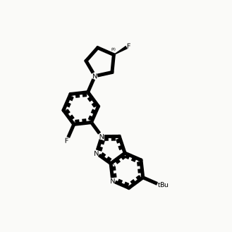 CC(C)(C)c1cnc2nn(-c3cc(N4CC[C@@H](F)C4)ccc3F)cc2c1